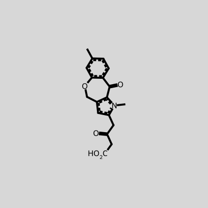 Cc1ccc2c(c1)OCc1cc(CC(=O)CC(=O)O)n(C)c1C2=O